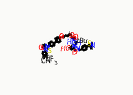 Cc1ncsc1-c1ccc(CNC(=O)[C@@H]2C[C@@H](O)CN2C[C@@H](NC(=O)CO[C@@H](C)CCCOc2ccc(-c3ccc(N4C(=S)N(c5ccc(C#N)c(C(F)(F)F)c5)C(=O)C4(C)C)cc3)cc2)C(C)(C)C)cc1